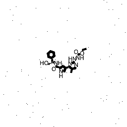 CCOC(=O)NNc1ncc(C)c(-c2c[nH]c(C(=O)N[C@H](CO)c3ccccc3)c2)n1